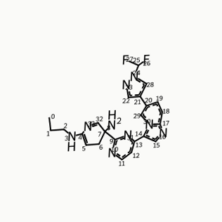 CCCNC1=CCC(N)(c2nccc(-c3cnc4ccc(-c5cnn(C(F)F)c5)cn34)n2)C=N1